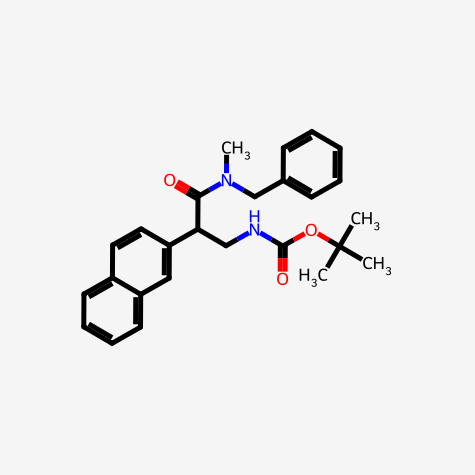 CN(Cc1ccccc1)C(=O)C(CNC(=O)OC(C)(C)C)c1ccc2ccccc2c1